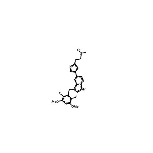 COc1nc(OC)c(F)c(Cc2c[nH]c3ncc(-c4cnn(CC[S+](C)[O-])c4)cc23)c1F